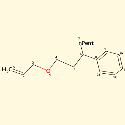 C=CCOCCC(CCCCC)c1ccccc1